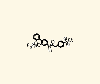 CCS(=O)(=O)c1ccc(CC(=O)Nc2ccc(-c3ccccc3OC(F)(F)F)c(C#N)c2)cc1